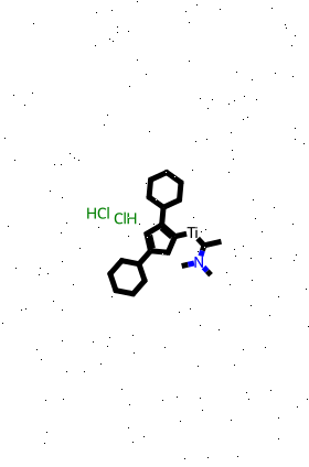 C[CH]([Ti][C]1=C(C2CCCCC2)C=C(C2CCCCC2)C1)N(C)C.Cl.Cl